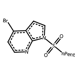 CCCCCS(=O)(=O)n1ccc2c(Br)ccnc21